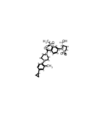 Cc1cc(C2CC2)ccc1N1CCN(C(=O)c2ccc(N3[C@H](CO)CCS3(=O)=O)cc2S(C)(=O)=O)CC1